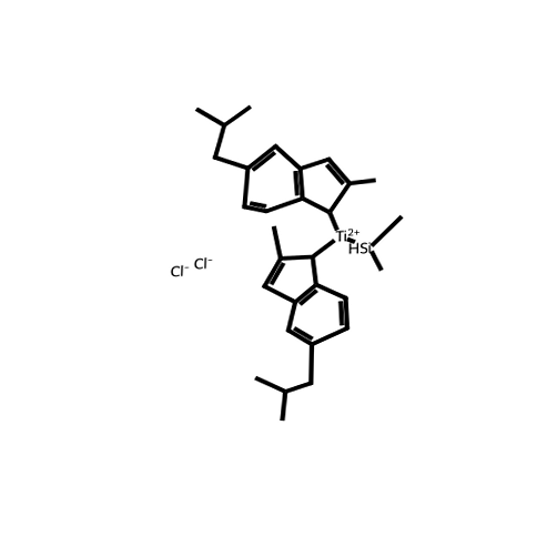 CC1=Cc2cc(CC(C)C)ccc2[CH]1[Ti+2]([CH]1C(C)=Cc2cc(CC(C)C)ccc21)[SiH](C)C.[Cl-].[Cl-]